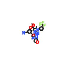 COC(=O)C1=C(C)N(c2cccc(C(F)(F)F)c2)c2n[nH]c(=O)n2[C@@H]1c1ccc(C#N)cc1CC[N+](C)(C)C1CCOCC1